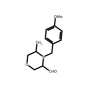 COc1ccc(CN2C(C)COCC2C=O)cc1